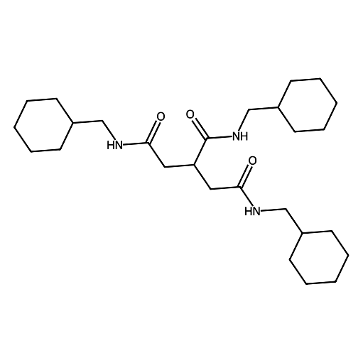 O=C(CC(CC(=O)NCC1CCCCC1)C(=O)NCC1CCCCC1)NCC1CCCCC1